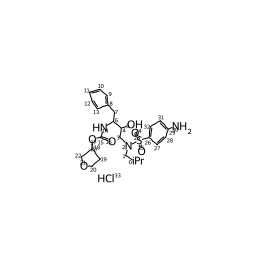 CC(C)CN(CC(O)C(Cc1ccccc1)NC(=O)O[C@H]1CCOC1)S(=O)(=O)c1ccc(N)cc1.Cl